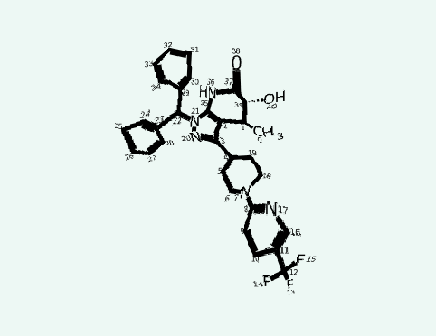 C[C@H]1c2c(C3CCN(c4ccc(C(F)(F)F)cn4)CC3)nn(C(c3ccccc3)c3ccccc3)c2NC(=O)[C@@H]1O